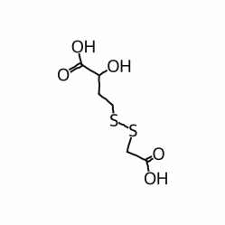 O=C(O)CSSCCC(O)C(=O)O